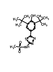 CC(C)(C)c1cc(-c2nnc(NS(C)(=O)=O)s2)cc(C(C)(C)C)c1O